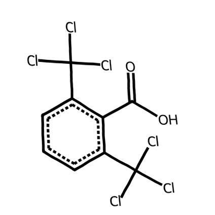 O=C(O)c1c(C(Cl)(Cl)Cl)cccc1C(Cl)(Cl)Cl